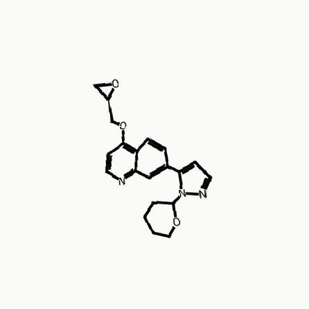 c1cc(OC[C@H]2CO2)c2ccc(-c3ccnn3C3CCCCO3)cc2n1